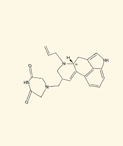 C=CCN1CC(CN2CC(=O)NC(=O)C2)C=C2c3cccc4[nH]cc(c34)C[C@H]21